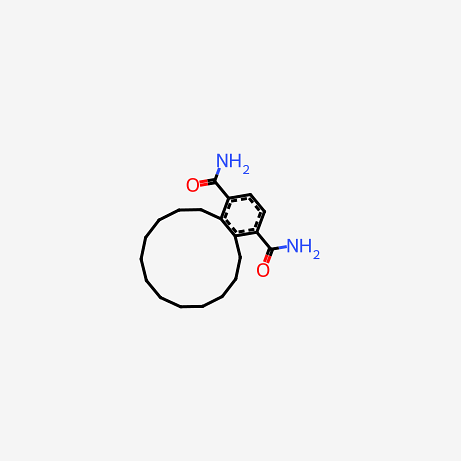 NC(=O)c1ccc(C(N)=O)c2c1CCCCCCCCCCCC2